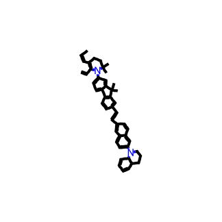 C=CC1=C(/C=C\C)CCC(C)(C)N1c1ccc2c(c1)C(C)(C)c1cc(/C=C/c3ccc4cc(N5CCCC6C=CC=CC65)ccc4c3)ccc1-2